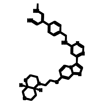 CN/C=C(\C=N)c1ccc(CNc2cc(-c3cnc4cc(OCCN5CCO[C@@H]6COCC[C@@H]65)ccn34)ncn2)cc1